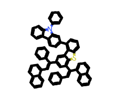 C(=C(\c1cccc2ccccc12)c1cc(/C(=C/c2cccc3ccccc23)c2ccccc2)cc2c1sc1cccc(-c3ccc4c5ccccc5n(-c5ccccc5)c4c3)c12)/c1ccccc1